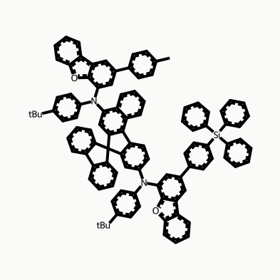 Cc1ccc(-c2cc(N(c3ccc(C(C)(C)C)cc3)c3cc4c(c5ccccc35)-c3ccc(N(c5ccc(C(C)(C)C)cc5)c5cc(-c6ccc([Si](c7ccccc7)(c7ccccc7)c7ccccc7)cc6)cc6c5oc5ccccc56)cc3C43c4ccccc4-c4ccccc43)c3oc4ccccc4c3c2)cc1